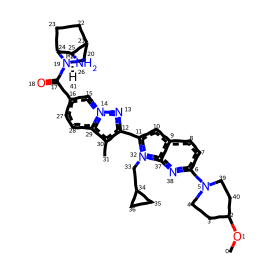 COC1CCN(c2ccc3cc(-c4nn5cc(C(=O)N6CC7CCC6[C@@H]7N)ccc5c4C)n(CC4CC4)c3n2)CC1